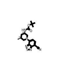 C[C@H]1C[C@@H](NC(=O)OC(C)(C)C)CN(c2ccc(C#N)c3nsnc23)C1